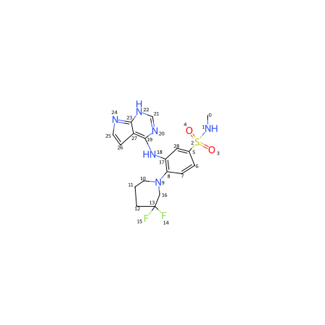 CNS(=O)(=O)c1ccc(N2CCCC(F)(F)C2)c(Nc2nc[nH]c3nccc2-3)c1